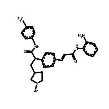 CC(=O)N1CCC(CC(C(=O)Nc2ccc(C(F)(F)F)cc2)c2ccc(/C=C/C(=O)Nc3ccccc3N)cc2)C1